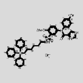 COc1ccc(N(C(=O)c2cnc[nH]2)c2ccc(Br)cc2)cc1S(=O)(=O)NCCCCCC[P+](c1ccccc1)(c1ccccc1)c1ccccc1.[Br-]